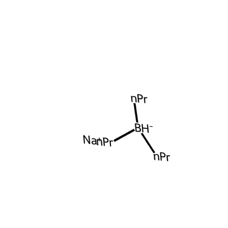 CCC[BH-](CCC)CCC.[Na+]